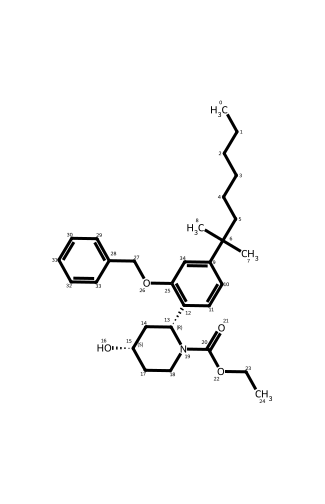 CCCCCCC(C)(C)c1ccc([C@H]2C[C@@H](O)CCN2C(=O)OCC)c(OCc2ccccc2)c1